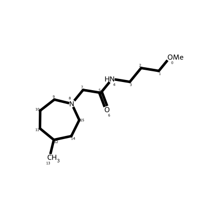 COCCCNC(=O)CN1CCCC(C)CC1